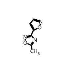 Cc1nc(-c2c[c]no2)no1